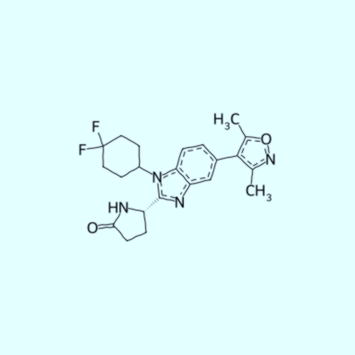 Cc1noc(C)c1-c1ccc2c(c1)nc([C@@H]1CCC(=O)N1)n2C1CCC(F)(F)CC1